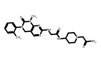 Cc1ccccc1N1Cc2cnc(NCC(=O)NC3CCN(CC(N)=O)CC3)nc2N(C)C1=O